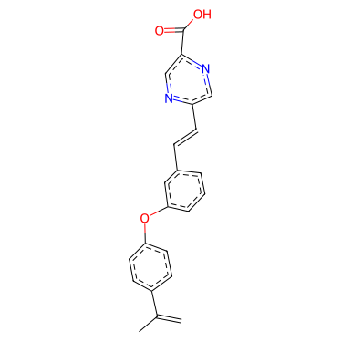 C=C(C)c1ccc(Oc2cccc(/C=C/c3cnc(C(=O)O)cn3)c2)cc1